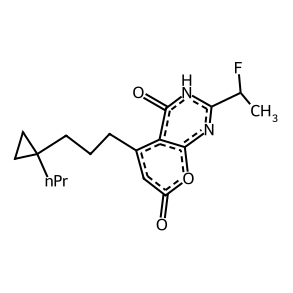 CCCC1(CCCc2cc(=O)oc3nc(C(C)F)[nH]c(=O)c23)CC1